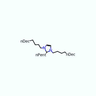 CCCCCCCCCCCCCCN1C=CN(CCCCCCCCCCCCCC)C1CCCCC